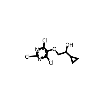 OC(COc1c(Cl)nc(Cl)nc1Cl)C1CC1